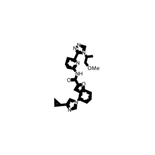 COCC(C)n1cnnc1-c1cccc(NC(=O)c2cc3c(-n4cnc(C5CC5)c4)cccc3o2)n1